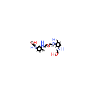 CC1CCC(NCCO)CC1NCCOCCNC1CC(NCCO)CCC1C